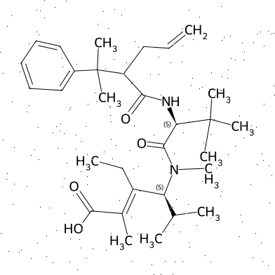 C=CCC(C(=O)N[C@H](C(=O)N(C)[C@H](C(CC)=C(C)C(=O)O)C(C)C)C(C)(C)C)C(C)(C)c1ccccc1